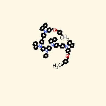 C=Cc1ccc(COCc2ccc(N(c3ccc(-c4ccc(N(c5ccc6c(c5)c5cc(N(c7ccc(-c8ccc(N(c9ccc(COCc%10ccc(C=C)cc%10)cc9)c9cccc%10ccccc9%10)cc8)cc7)c7cccc8ccccc78)ccc5n6-c5ccccc5)c5cccc6ccccc56)cc4)cc3)c3cccc4ccccc34)cc2)cc1